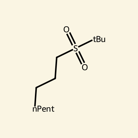 CCCCCCCCS(=O)(=O)C(C)(C)C